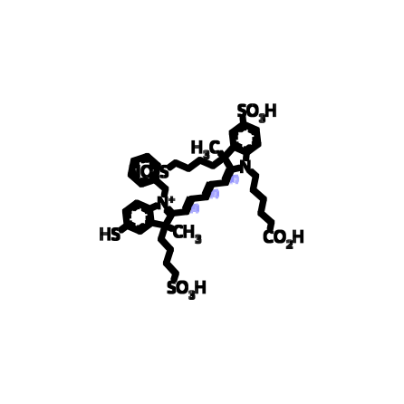 CC1(CCCCS(=O)(=O)O)C(/C=C/C=C/C=C2/N(CCCCCC(=O)O)c3ccc(S(=O)(=O)O)cc3C2(C)CCCCS(=O)(=O)O)=[N+](Cc2ccccc2)c2ccc(S)cc21